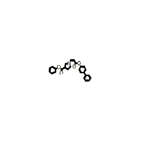 O=C(/C=C\N1CCC(C(=O)Oc2ccccc2)C1)Oc1ccc(-c2ccccc2)cc1